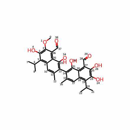 COc1c(O)c(C(C)C)c2cc(C)c(-c3c(C)cc4c(C(C)C)c(O)c(O)c(C=O)c4c3O)c(O)c2c1C=O